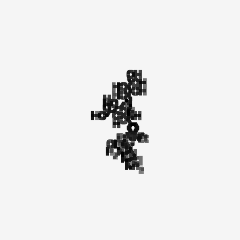 CCn1c(CN(C=O)c2nc(Cl)c(N)nc2N)[n+](CC)c2ccc(C(=O)NCCN(C[C@H](O)[C@@H](O)[C@H](O)[C@H](O)CO)C[C@H](O)[C@@H](O)[C@H](O)[C@H](O)CO)cc21